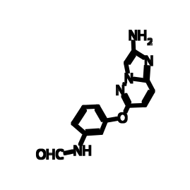 Nc1cn2nc(Oc3cccc(NC=O)c3)ccc2n1